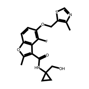 Cc1ncsc1COc1ccc2oc(C)c(C(=O)NC3(CO)CC3)c2c1F